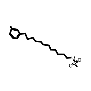 CS(=O)(=O)OCCCCCCCCCCCCc1cccc(I)c1